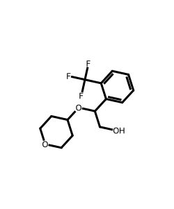 OCC(OC1CCOCC1)c1ccccc1C(F)(F)F